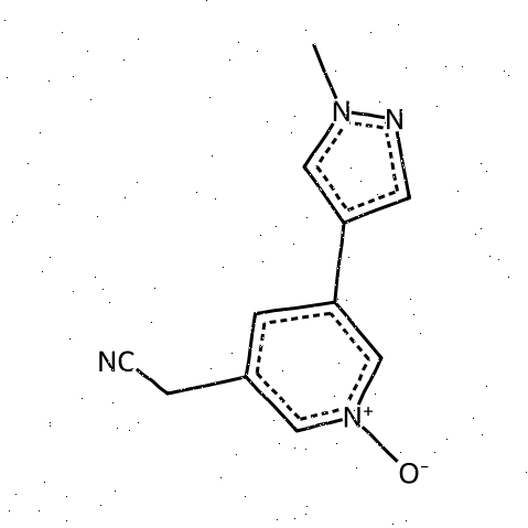 Cn1cc(-c2cc(CC#N)c[n+]([O-])c2)cn1